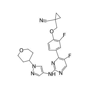 N#CC1(COc2ccc(-c3nc(Nc4cnn(C5CCOCC5)c4)ncc3F)cc2F)CC1